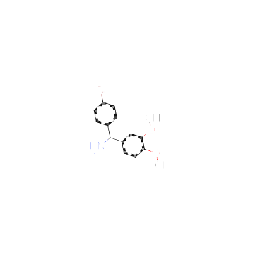 COc1ccc(C(N)c2ccc(Br)cc2)cc1OC